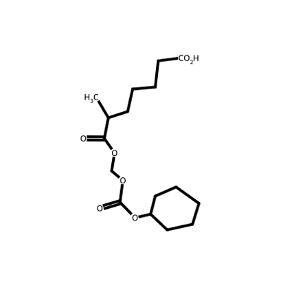 CC(CCCCC(=O)O)C(=O)OCOC(=O)OC1CCCCC1